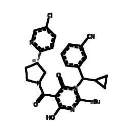 CCCCc1nc(O)c(C(=O)N2CC[C@H](c3ccc(Cl)cn3)C2)c(=O)n1C(c1cccc(C#N)c1)C1CC1